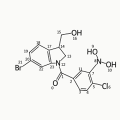 O=C(c1ccc(Cl)c(N(O)O)c1)N1CC(CO)c2ccc(Br)cc21